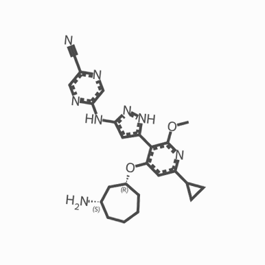 COc1nc(C2CC2)cc(O[C@@H]2CCCC[C@H](N)C2)c1-c1cc(Nc2cnc(C#N)cn2)n[nH]1